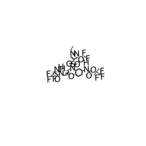 CCn1cc(S(=O)(=O)N2C[C@H](CNC(=O)[C@](C)(N)C(F)(F)F)Oc3ccc(NC(=O)OC(C)(C)C(F)(F)F)cc32)c(OC(F)F)n1